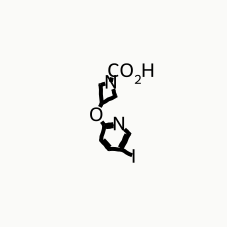 O=C(O)N1CC(Oc2ccc(I)cn2)C1